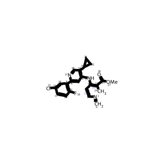 C=N/C=C\C(Nc1cc(-c2cc(Cl)ccc2F)ncc1C1CC1)=C(/C)C(=O)OC